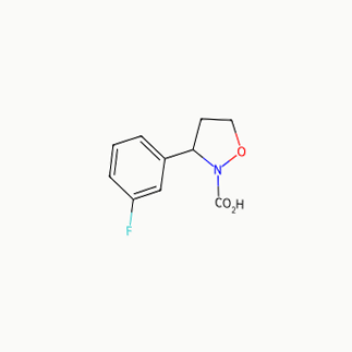 O=C(O)N1OCCC1c1cccc(F)c1